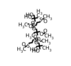 CCO[Si](CCCSC(C)=O)(OCC(CC)(CO)CO)OCC(CC)(COC(C)=O)CO[Si](CCCSC(C)=O)(OCC)OCC(CC)(CO)CO